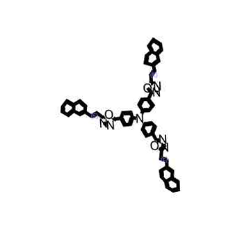 C(=C\c1nnc(-c2ccc(N(c3ccc(-c4nnc(/C=C/c5ccc6ccccc6c5)o4)cc3)c3ccc(-c4nnc(/C=C/c5ccc6ccccc6c5)o4)cc3)cc2)o1)/c1ccc2ccccc2c1